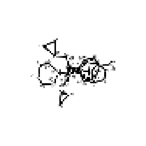 CCCN1C2CCC1CN(C(=O)CC1([C@H]3COC[C@@H](C4CC4)N3S(=O)(=O)c3ccc(Cl)cc3)CC1)C2